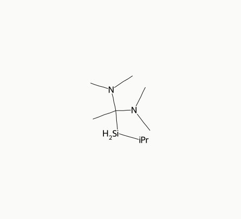 CC(C)[SiH2]C(C)(N(C)C)N(C)C